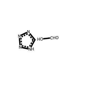 O=CO.c1nnn[nH]1